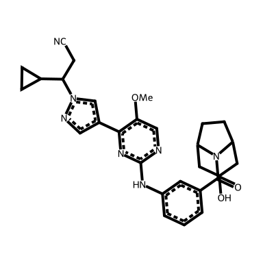 COc1cnc(Nc2cccc(C(=O)N3C4CCC3CC(O)C4)c2)nc1-c1cnn(C(CC#N)C2CC2)c1